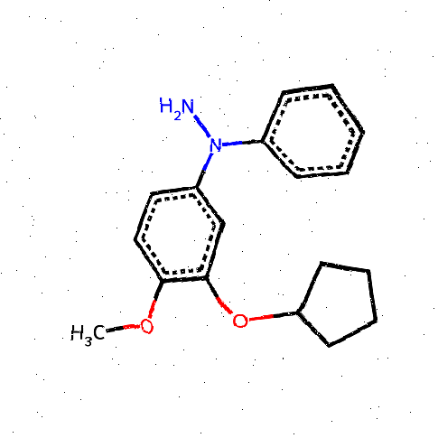 COc1ccc(N(N)c2ccccc2)cc1OC1CCCC1